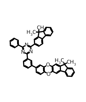 CC1(C)c2ccccc2-c2ccc(-c3nc(-c4ccccc4)nc(-c4cccc(-c5ccc6c(c5)Oc5cc7c(cc5O6)-c5ccccc5C7(C)C)c4)n3)cc21